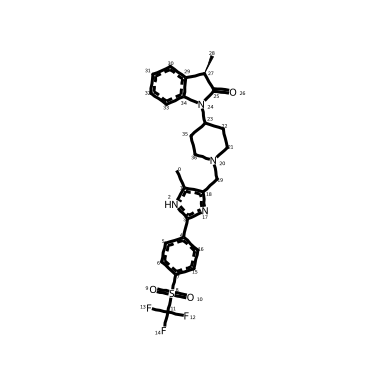 Cc1[nH]c(-c2ccc(S(=O)(=O)C(F)(F)F)cc2)nc1CN1CCC(N2C(=O)[C@H](C)c3ccccc32)CC1